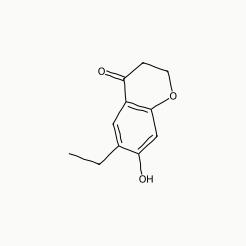 CCc1cc2c(cc1O)OCCC2=O